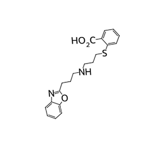 O=C(O)c1ccccc1SCCCNCCCc1nc2ccccc2o1